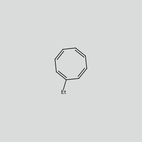 CCC1=CC=CC=CC=C1